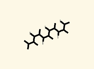 CC(C)C(C)C(I)C(C)C(I)C(C)C(I)C(C)C(I)C(C)C(C)I